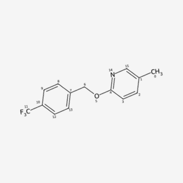 Cc1ccc(OCc2ccc(C(F)(F)F)cc2)nc1